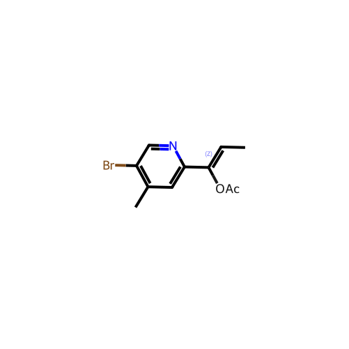 C/C=C(\OC(C)=O)c1cc(C)c(Br)cn1